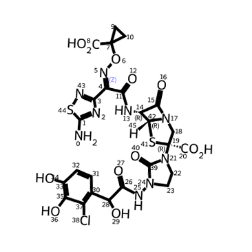 Nc1nc(/C(=N/OC2(C(=O)O)CC2)C(=O)N[C@@H]2C(=O)N3C[C@@](C(=O)O)(N4CCN(NC(=O)C(O)c5ccc(O)c(O)c5Cl)C4=O)S[C@H]23)ns1